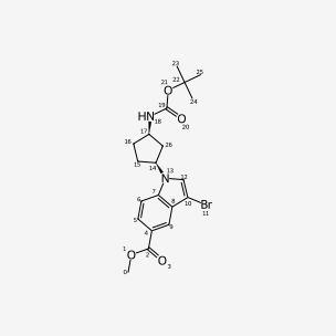 COC(=O)c1ccc2c(c1)c(Br)cn2[C@H]1CC[C@@H](NC(=O)OC(C)(C)C)C1